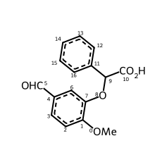 COc1ccc(C=O)cc1OC(C(=O)O)c1ccccc1